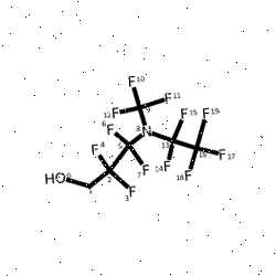 OCC(F)(F)C(F)(F)N(C(F)(F)F)C(F)(F)C(F)(F)F